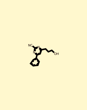 N#Cc1nc(CCCO)cc(-c2ccccc2)n1